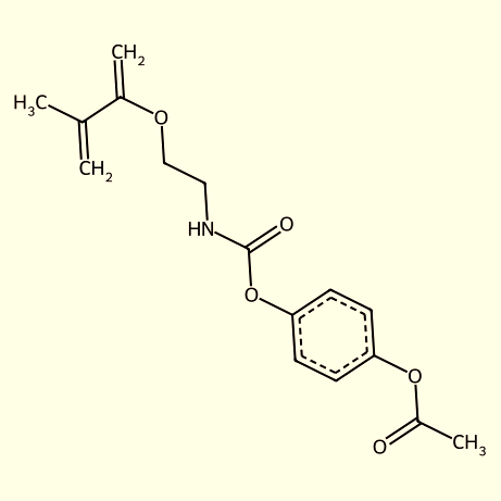 C=C(C)C(=C)OCCNC(=O)Oc1ccc(OC(C)=O)cc1